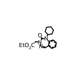 CCOC(=O)CN1N=Cc2ccccc2N(C2CCCCC2)C1=O